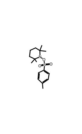 Cc1ccc(S(=O)(=O)ON2C(C)(C)CCCC2(C)C)cc1